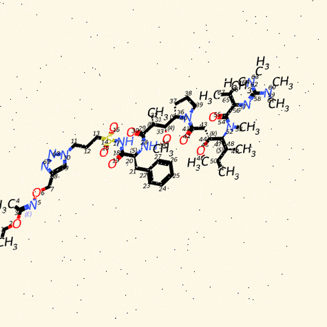 CCO/C(C)=N/OCc1cn(CCCS(=O)(=O)NC(=O)[C@H](Cc2ccccc2)NC(=O)[C@H](C)[C@@H](OC)[C@@H]2CCCN2C(=O)C[C@@H](OC)[C@H]([C@@H](C)CC)N(C)C(=O)C(N=C(N(C)C)N(C)C)C(C)C)nn1